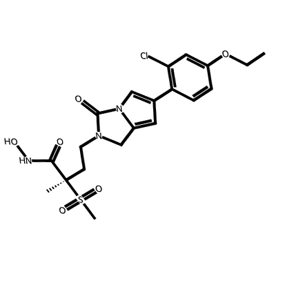 CCOc1ccc(-c2cc3n(c2)C(=O)N(CC[C@](C)(C(=O)NO)S(C)(=O)=O)C3)c(Cl)c1